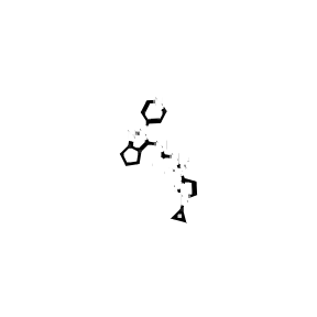 O=C(Nc1c2c(nn1-c1ccncc1)CCC2)NS(=O)(=O)c1ccn(C2CC2)n1